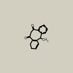 CC1C2=C(CCC=C2)C(=O)CC(=O)c2ccccc21